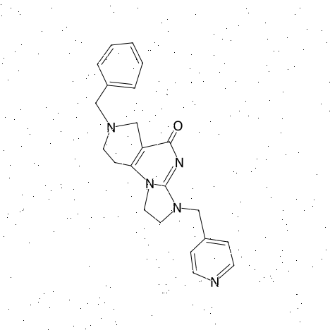 O=c1nc2n(c3c1CN(Cc1ccccc1)CC3)CCN2Cc1ccncc1